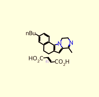 CCCCc1ccc2c(c1)CCc1cc3n(c1-2)CCN=C3C.O=C(O)/C=C/C(=O)O